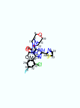 COC(=O)C1=C(CN2C3COCC2CN(C(N)=O)C3)NC(c2nccs2)=N[C@H]1c1ccc(F)cc1Cl